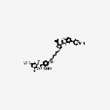 CN1CCC(c2ccc3ncc(-c4cn(CCCCCCNc5ccc(C(=O)NC6CC(C=O)CNC6=O)c(C=O)c5)nc4C4CC4)nc3c2)CC1